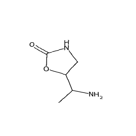 CC(N)C1CNC(=O)O1